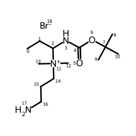 CCC(NC(=O)OC(C)(C)C)[N+](C)(C)CCCN.[Br-]